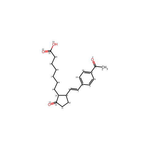 CC(=O)c1ccc(C=CC2CCC(=O)C2CCCCCCC(=O)O)cc1